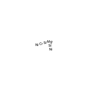 [Cr].[Mg].[Ni].[Ni].[Si].[Si]